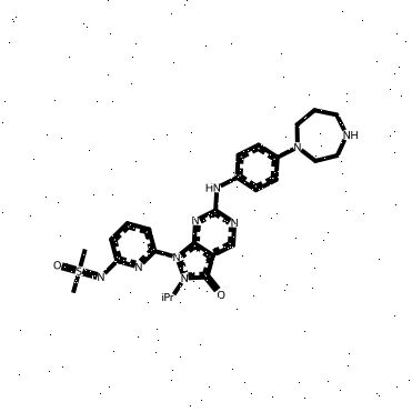 CC(C)n1c(=O)c2cnc(Nc3ccc(N4CCCNCC4)cc3)nc2n1-c1cccc(N=S(C)(C)=O)n1